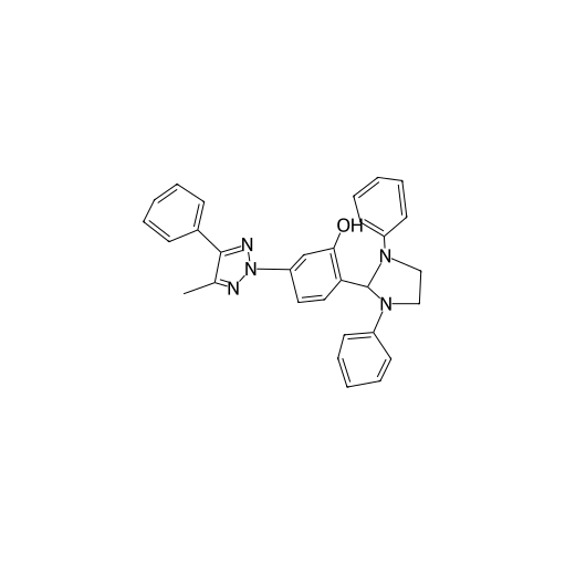 Cc1nn(-c2ccc(C3N(c4ccccc4)CCN3c3ccccc3)c(O)c2)nc1-c1ccccc1